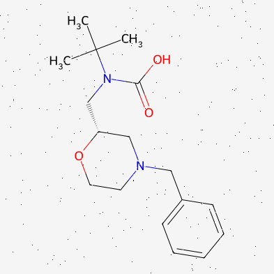 CC(C)(C)N(C[C@@H]1CN(Cc2ccccc2)CCO1)C(=O)O